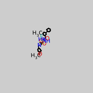 COc1ccc(CN2CC(S(=O)(=O)NNC(=O)c3cc(-c4ccccc4)cc(C)c3F)C2)cc1